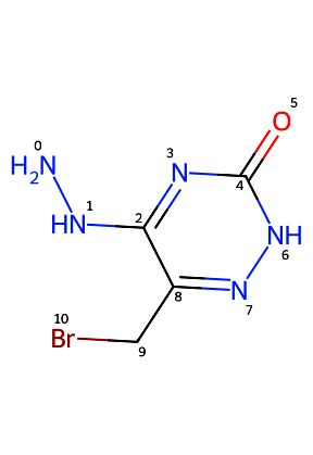 NNc1nc(=O)[nH]nc1CBr